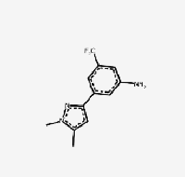 Cc1cc(-c2cc(N)cc(C(F)(F)F)c2)nn1C